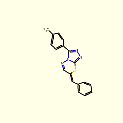 FC(F)(F)c1ccc(-c2nnc3n2N=C/C(=C/c2ccccc2)S3)cc1